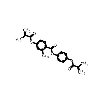 C=C(C)C(=O)Sc1ccc(OC(=O)c2ccc(SC(=O)C(=C)C)cc2C(F)(F)F)cc1